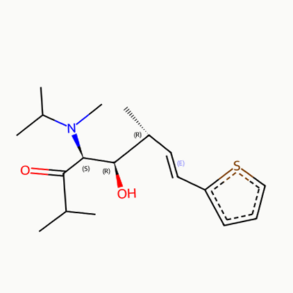 CC(C)C(=O)[C@H]([C@H](O)[C@H](C)/C=C/c1cccs1)N(C)C(C)C